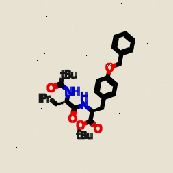 CC(C)C[C@H](NC(=O)C(C)(C)C)C(=O)N[C@@H](Cc1ccc(OCc2ccccc2)cc1)C(=O)OC(C)(C)C